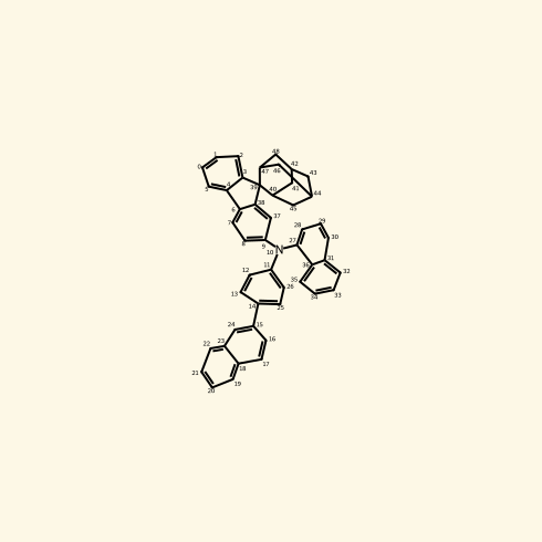 c1ccc2c(c1)-c1ccc(N(c3ccc(-c4ccc5ccccc5c4)cc3)c3cccc4ccccc34)cc1C21C2CC3CC(C2)CC1C3